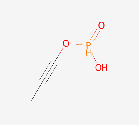 CC#CO[PH](=O)O